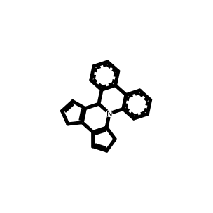 C1=CC2=C(C1)C1=C(CC=C1)N1c3ccccc3-c3ccccc3C21